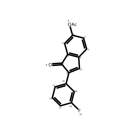 CC(=O)Oc1ccc2c(c1)C(=O)C(c1cccc(F)c1)=C2